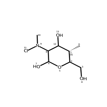 C[C@@H]1C(CO)OC(O)C(N(C)Cl)C1O